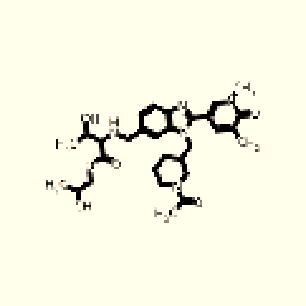 CC(=O)N1CCCC(Cn2c(-c3cc(C)c(=O)n(C)c3)nc3ccc(CNC(C(=O)OCC(C)C)C(C)O)cc32)C1